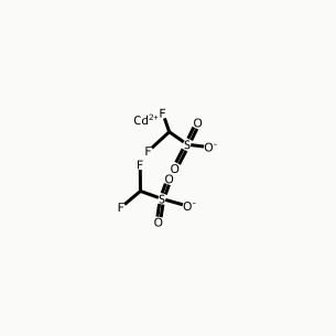 O=S(=O)([O-])C(F)F.O=S(=O)([O-])C(F)F.[Cd+2]